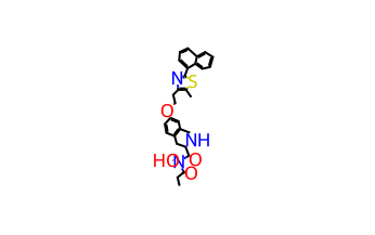 CCC(=O)N(O)C(=O)C1Cc2ccc(OCCc3nc(-c4cccc5ccccc45)sc3C)cc2CN1